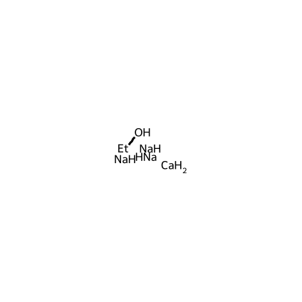 CCO.[CaH2].[NaH].[NaH].[NaH]